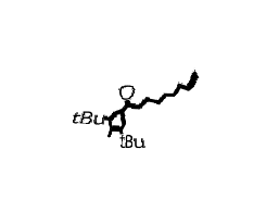 C=CCCCCCCC(=O)c1cc(C(C)(C)C)c(C)c(C(C)(C)C)c1